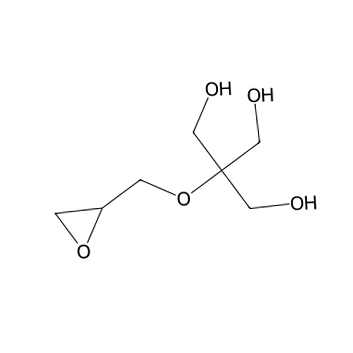 OCC(CO)(CO)OCC1CO1